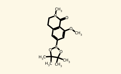 COc1cc(B2OC(C)(C)C(C)(C)O2)cc2c1C(=O)N(C)CC2